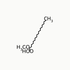 CCCCCCCCCCCCCCCCCCC(OCC)C(=O)O